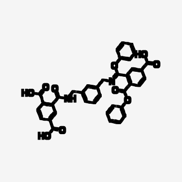 O=C(O)c1ccc(C(=O)O)c(C(=O)NCc2cccc(CN=C(Oc3ccccc3)c3cc(C(=O)O)ccc3C(=O)Oc3ccccc3)c2)c1